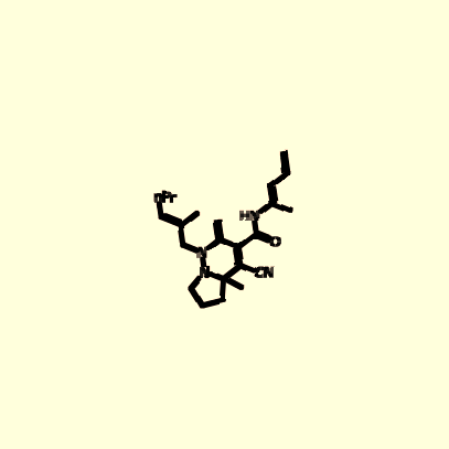 C=C/C=C(\C)NC(=O)C1=C(C#N)C2(C)CCCN2N(C/C(C)=C/CCC)C1=C